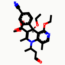 CCOc1ncc(C)c2c1[C@](OCC)(c1ccc(C#N)cc1OC)C(C(=O)O)=C(C)N2C(C)CC=O